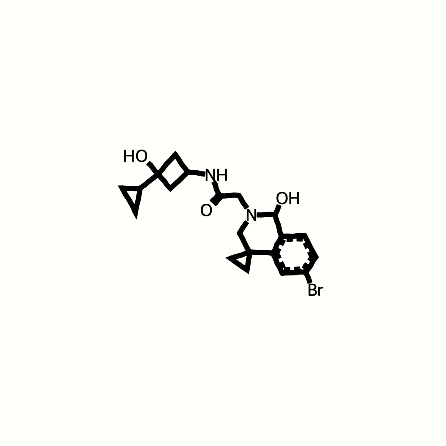 O=C(CN1CC2(CC2)c2cc(Br)ccc2C1O)NC1CC(O)(C2CC2)C1